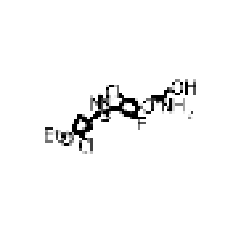 CCOc1ccc(-c2nnc(-c3cc(F)c(OC[C@H](N)CO)cc3Cl)s2)cc1Cl